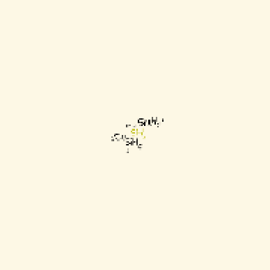 S.[Cu].[SiH4].[SnH2]